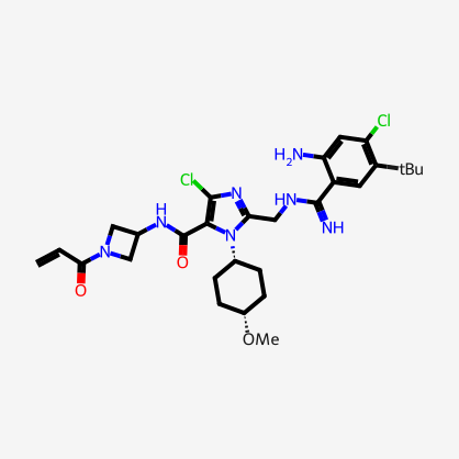 C=CC(=O)N1CC(NC(=O)c2c(Cl)nc(CNC(=N)c3cc(C(C)(C)C)c(Cl)cc3N)n2[C@H]2CC[C@@H](OC)CC2)C1